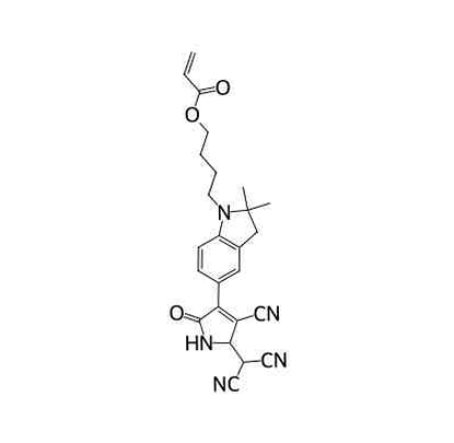 C=CC(=O)OCCCCN1c2ccc(C3=C(C#N)C(C(C#N)C#N)NC3=O)cc2CC1(C)C